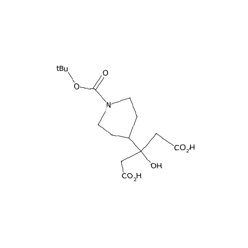 CC(C)(C)OC(=O)N1CCC(C(O)(CC(=O)O)CC(=O)O)CC1